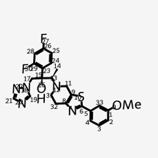 COc1cccc(-c2nc3c(s2)CN([C@H](C)[C@](O)(Cn2cncn2)c2ccc(F)cc2F)CC3)c1